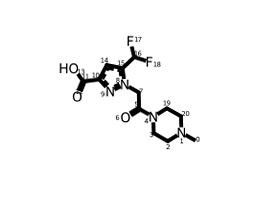 CN1CCN(C(=O)Cn2nc(C(=O)O)cc2C(F)F)CC1